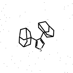 c1scc(C23CC4CC(CC(C4)C2)C3)c1C12CC3CC(CC(C3)C1)C2